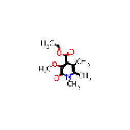 CCOC(=O)c1c(C)c(C)n(C)c(=O)c1OC